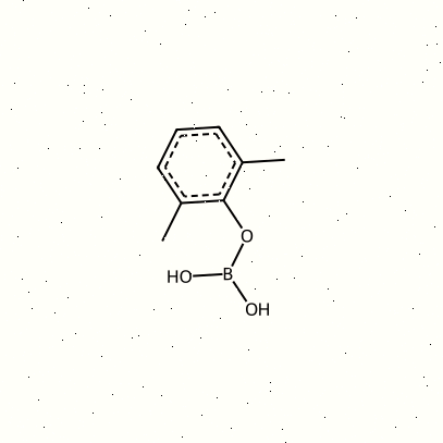 Cc1cccc(C)c1OB(O)O